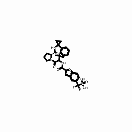 CC(C)(C)C(NC(=O)c1cc2cc(C(F)(F)P(=O)(O)O)ccc2s1)C(=O)N1CCC[C@H]1C(=O)NC1(c2ccccc2)CC1